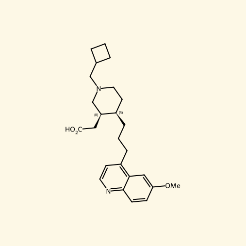 COc1ccc2nccc(CCC[C@@H]3CCN(CC4CCC4)C[C@@H]3CC(=O)O)c2c1